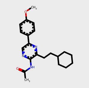 COc1ccc(-c2cnc(NC(C)=O)c(CCC3CCCCC3)n2)cc1